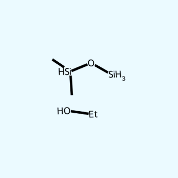 CCO.C[SiH](C)O[SiH3]